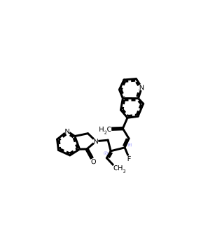 C=C(/C=C(F)\C(=C/C)CN1Cc2ncccc2C1=O)c1ccc2ncccc2c1